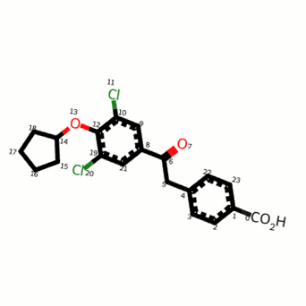 O=C(O)c1ccc(CC(=O)c2cc(Cl)c(OC3CCCC3)c(Cl)c2)cc1